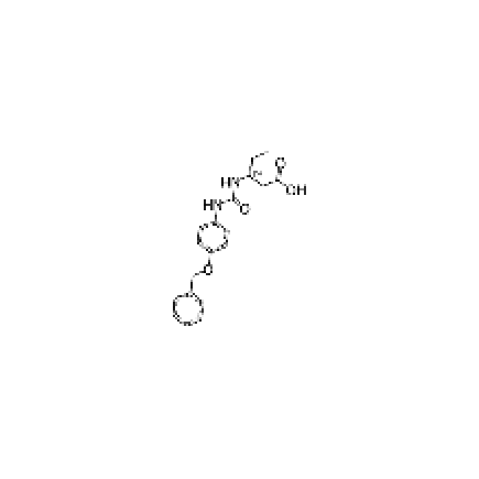 CC[C@@H](CC(=O)O)NC(=O)Nc1ccc(OCc2ccccc2)cc1